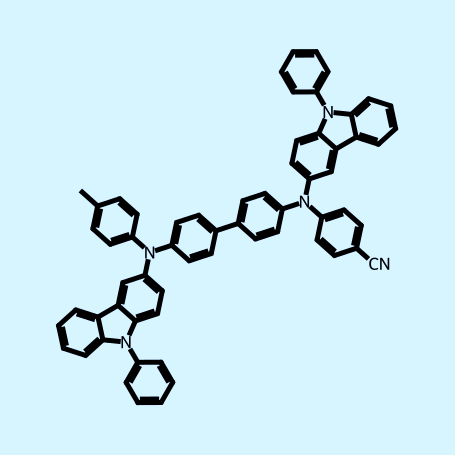 Cc1ccc(N(c2ccc(-c3ccc(N(c4ccc(C#N)cc4)c4ccc5c(c4)c4ccccc4n5-c4ccccc4)cc3)cc2)c2ccc3c(c2)c2ccccc2n3-c2ccccc2)cc1